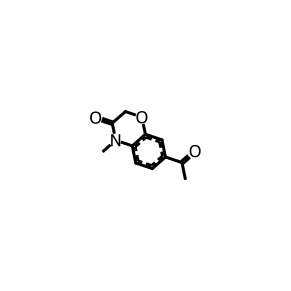 CC(=O)c1ccc2c(c1)OCC(=O)N2C